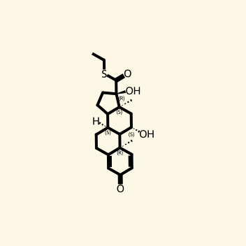 CCSC(=O)[C@@]1(O)CCC2[C@@H]3CCC4=CC(=O)C=C[C@]4(C)C3[C@@H](O)C[C@@]21C